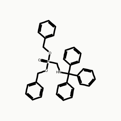 O=P(CNC(c1ccccc1)(c1ccccc1)c1ccccc1)(OCc1ccccc1)OCc1ccccc1